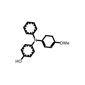 COC1=CC=C(N(c2ccccc2)c2ccc(O)cc2)CC1